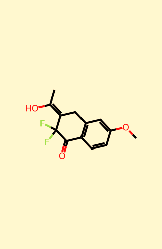 COc1ccc2c(c1)CC(=C(C)O)C(F)(F)C2=O